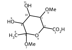 COC1C(C(=O)O)OC(C)(OC)C(O)C1O